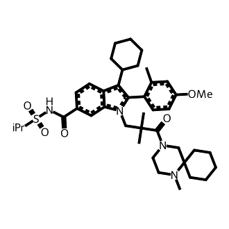 COc1ccc(-c2c(C3CCCCC3)c3ccc(C(=O)NS(=O)(=O)C(C)C)cc3n2CC(C)(C)C(=O)N2CCN(C)C3(CCCCC3)C2)c(C)c1